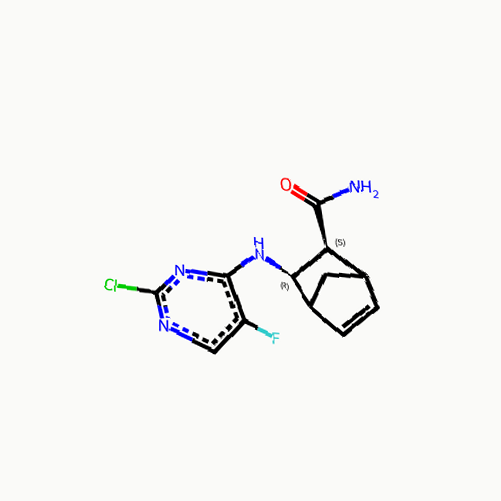 NC(=O)[C@H]1C2C=CC(C2)[C@H]1Nc1nc(Cl)ncc1F